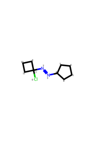 ClC1(N=NC2CCCC2)CCC1